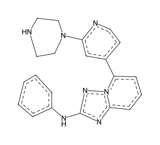 c1ccc(Nc2nc3cccc(-c4ccnc(N5CCNCC5)c4)n3n2)cc1